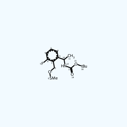 CSOCc1c(F)cccc1C(C)NC(=O)OC(C)(C)C